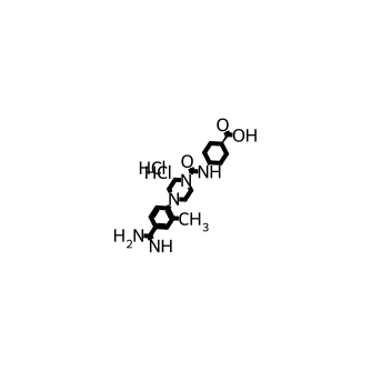 Cc1cc(C(=N)N)ccc1N1CCN(C(=O)N[C@H]2CC[C@H](C(=O)O)CC2)CC1.Cl.Cl